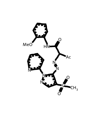 COc1ccccc1NC(=O)C(N=Nc1c(S(C)(=O)=O)cnn1-c1ccccn1)C(C)=O